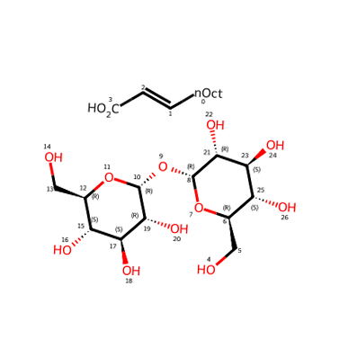 CCCCCCCCC=CC(=O)O.OC[C@H]1O[C@H](O[C@H]2O[C@H](CO)[C@@H](O)[C@H](O)[C@H]2O)[C@H](O)[C@@H](O)[C@@H]1O